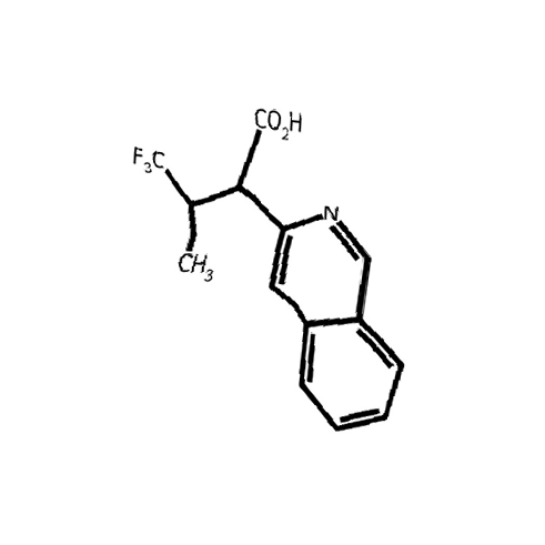 CC(C(C(=O)O)c1cc2ccccc2cn1)C(F)(F)F